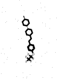 C[C@H]1CC[C@H](C2CCC(CCc3ccc(OC(F)(F)C(F)(F)F)cc3)CC2)CC1